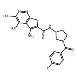 Cc1nnc2sc(C(=O)NC3CCN(C(=O)c4ccc(F)cc4)C3)c(N)c2c1C